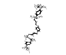 C[SiH](C)c1ccc([Si](C)(C)CCCOc2ccc(OCCC[Si](C)(C)c3ccc([SiH](C)C)cc3)cc2)cc1